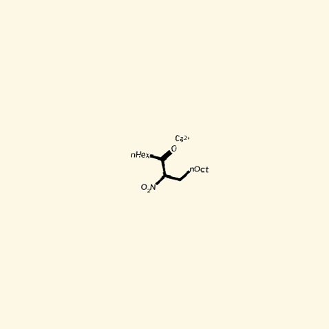 CCCCCCCCCC(C(=O)CCCCCC)[N+](=O)[O-].[Ca+2]